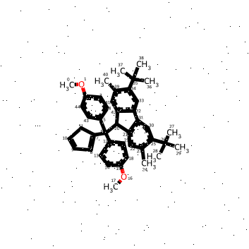 COc1ccc(C(C2=CC=CC2)(c2ccc(OC)cc2)C2c3cc(C)c(C(C)(C)C)cc3-c3cc(C(C)(C)C)c(C)cc32)cc1